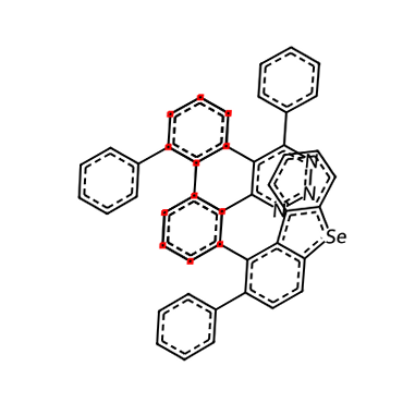 c1ccc(-c2ccccc2-c2cccc(-c3c(-c4ccccc4)ccc4[se]c5ccccc5c34)c2-c2nnnc(-c3ccccc3)c2-c2ccccc2-c2ccccc2)cc1